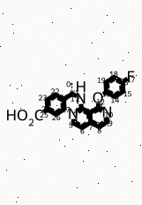 C[C@H](Nc1nccc2ccnc(Oc3ccc(F)cc3)c12)c1ccc(C(=O)O)cc1